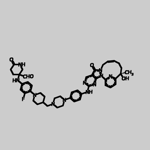 C[C@@]1(O)CC/C=C\Cn2c(=O)c3cnc(Nc4ccc(N5CCN(CC6CCN(c7ccc(NC8(C=O)CCC(=O)NC8)cc7F)CC6)CC5)cc4)nc3n2-c2cccc1n2